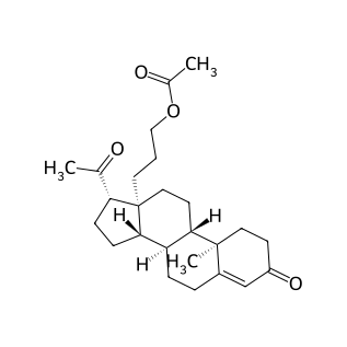 CC(=O)OCCC[C@]12CC[C@H]3[C@@H](CCC4=CC(=O)CC[C@@]43C)[C@@H]1CC[C@@H]2C(C)=O